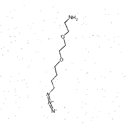 [N-]=[N+]=NCCCCOCCOCCN